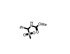 COC(=O)NC(C(C)C)S(C)(=O)=O